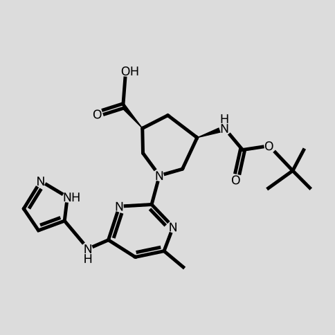 Cc1cc(Nc2ccn[nH]2)nc(N2C[C@H](NC(=O)OC(C)(C)C)C[C@H](C(=O)O)C2)n1